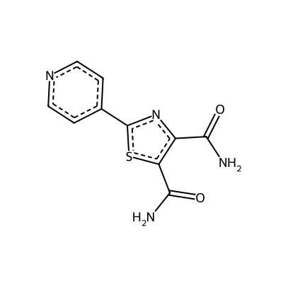 NC(=O)c1nc(-c2ccncc2)sc1C(N)=O